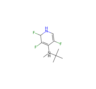 C[SiH](C1=C(F)C(F)NC=C1F)C(C)(C)C